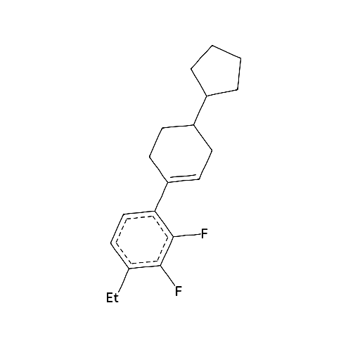 CCc1ccc(C2=CCC(C3CCCC3)CC2)c(F)c1F